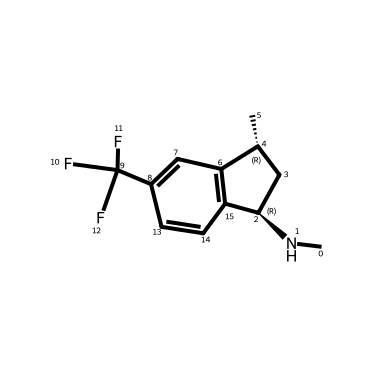 CN[C@@H]1C[C@@H](C)c2cc(C(F)(F)F)ccc21